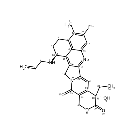 C=CCN[C@H]1CCc2c(C)c(F)cc3nc4c(c1c23)Cn1c-4cc2c(c1=O)COC(=O)[C@]2(O)CC